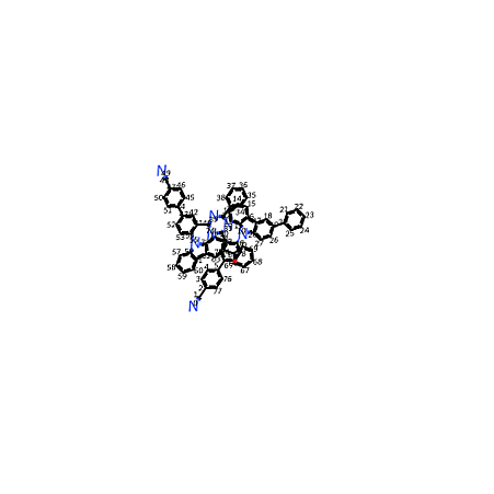 N#Cc1ccc(-c2ccc(-n3c4ccccc4c4cc(-c5ccccc5)ccc43)c(-c3nc(-c4ccccc4)nc(-c4cc(-c5ccc(C#N)cc5)ccc4-n4c5ccccc5c5cc(-c6ccccc6)ccc54)n3)c2)cc1